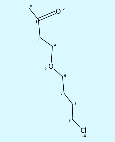 CC(=O)CCOCCCCCl